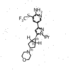 CC(C)n1nc(-c2cnc(N)c(SC(F)(F)F)c2)cc1[C@H]1[C@@H]2C[C@H](N3CCOCC3)C[C@@H]21